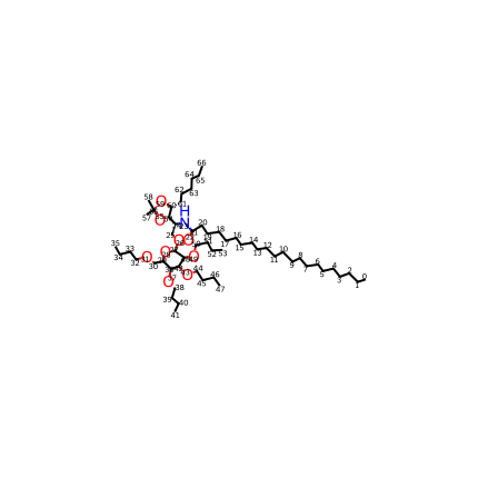 CCCCCCCCCCCCCCCCCCCCCC(=O)N[C@@H](COC1OC(COCCCC)C(OCCCC)C(OCCCC)C1OCCCC)[C@@H]1OC(C)(C)O[C@@H]1CCCCCC